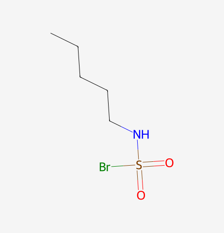 CCCCCNS(=O)(=O)Br